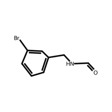 O=CNCc1cccc(Br)c1